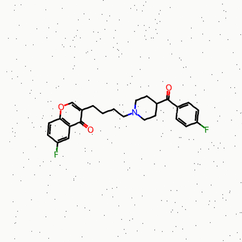 O=C(c1ccc(F)cc1)C1CCN(CCCCc2coc3ccc(F)cc3c2=O)CC1